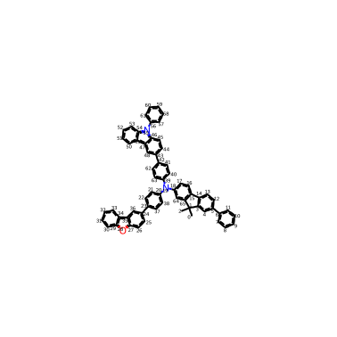 CC1(C)c2cc(-c3ccccc3)ccc2-c2ccc(N(c3ccc(-c4ccc5oc6ccccc6c5c4)cc3)c3ccc(-c4ccc5c(c4)c4ccccc4n5-c4ccccc4)cc3)cc21